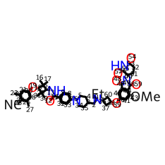 CCN(CC1CCN(c2ccc(C(=O)NC3C(C)(C)C(Oc4cc(C)c(C#N)c(C)c4)C3(C)C)cc2)CC1)C1CC(Oc2cc(OC)c3c(c2)C(=O)N([C@@H]2CCC(=O)NC2=O)C3=O)C1